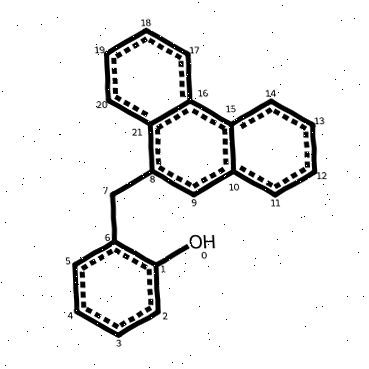 Oc1ccccc1Cc1cc2ccccc2c2ccccc12